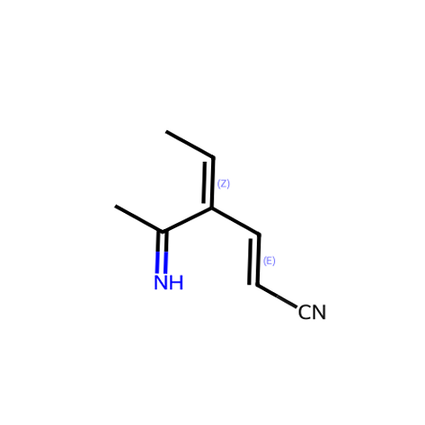 C/C=C(/C=C/C#N)C(C)=N